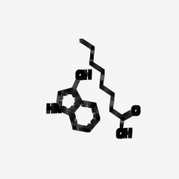 CCCCCCCC(=O)O.Oc1c[nH]c2ccccc12